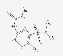 Cc1cnc(NC(=O)OC(C)(C)C)cc1S(=O)(=O)N(C)C